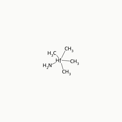 [CH3][Hf]([CH3])([CH3])([CH3])[NH2]